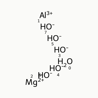 O.[Al+3].[Mg+2].[OH-].[OH-].[OH-].[OH-].[OH-]